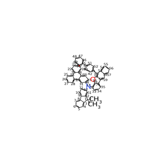 CC1(C)c2ccccc2-c2ccc(N(c3ccc4c5ccccc5c5ccccc5c4c3)c3cccc4c3oc3c(-c5ccc(-c6ccccc6)cc5)c5ccccc5cc34)cc21